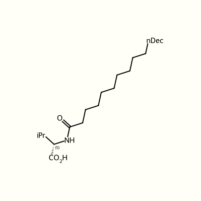 CCCCCCCCCCCCCCCCCCCC(=O)N[C@H](C(=O)O)C(C)C